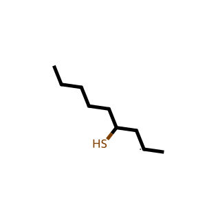 C[CH]CC(S)CCCCC